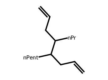 C=CC[C](CCCCC)C(CC=C)CCC